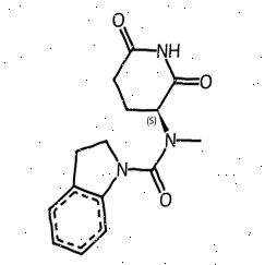 CN(C(=O)N1CCc2ccccc21)[C@H]1CCC(=O)NC1=O